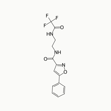 O=C(NCCNC(=O)C(F)(F)F)c1cc(-c2ccccc2)on1